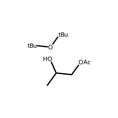 CC(=O)OCC(C)O.CC(C)(C)OC(C)(C)C